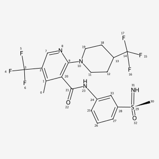 Cc1c(C(F)(F)F)cnc(N2CCC(C(F)(F)F)CC2)c1C(=O)Nc1cccc([S@](C)(=N)=O)c1